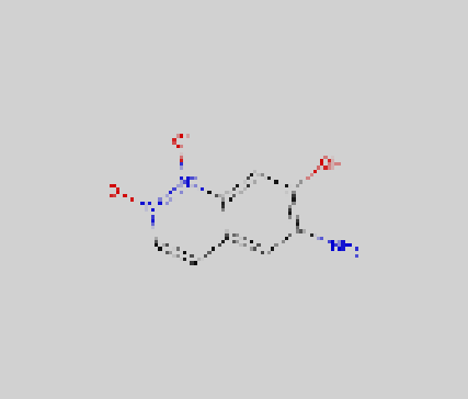 Nc1cc2cc[n+]([O-])[n+]([O-])c2cc1O